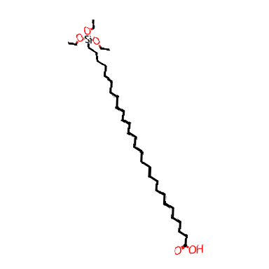 CCO[Si](CCCCCCCCCCCCCCCCCCCCCCCCCCCCC(=O)O)(OCC)OCC